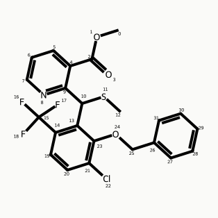 COC(=O)c1cccnc1C(SC)c1c(C(F)(F)F)ccc(Cl)c1OCc1ccccc1